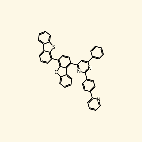 c1ccc(-c2cc(-c3ccc(-c4cccc5c4sc4ccccc45)c4oc5ccccc5c34)nc(-c3ccc(-c4ccccn4)cc3)n2)cc1